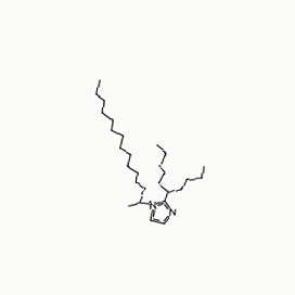 CCCCCCCCCCCCCC(C)n1ccnc1C(CCCC)CCCCC